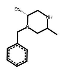 CC[C@@H]1CNC(C)CN1Cc1ccccc1